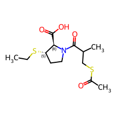 CCS[C@H]1CCN(C(=O)C(C)CSC(C)=O)[C@@H]1C(=O)O